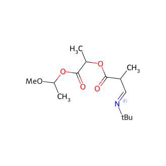 COC(C)OC(=O)C(C)OC(=O)C(C)/C=N/C(C)(C)C